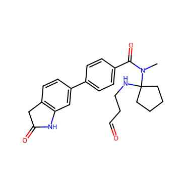 CN(C(=O)c1ccc(-c2ccc3c(c2)NC(=O)C3)cc1)C1(NCCC=O)CCCC1